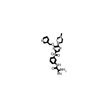 CCC(C)C(N)C(=O)Nc1cccc(S(=O)(=O)c2cnc(N3CCN(C)CC3)c(OCc3cccnc3)n2)c1